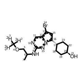 [2H]C([2H])([2H])OCC(C)Nc1ncc2c(Br)cc([C@H]3CC[C@H](O)CC3)n2n1